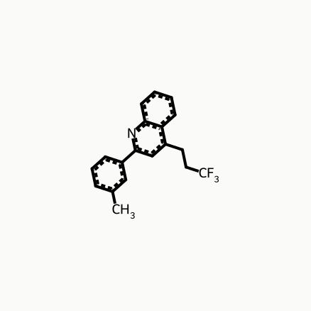 Cc1cccc(-c2cc(CCC(F)(F)F)c3ccccc3n2)c1